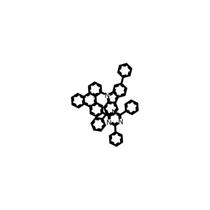 c1ccc(-c2ccc3c4ccc(-c5ccccc5)cc4n(-c4cccc5c6ccccc6c6ccc(-c7nc(-c8ccccc8)nc(-c8ccccc8)n7)cc6c45)c3c2)cc1